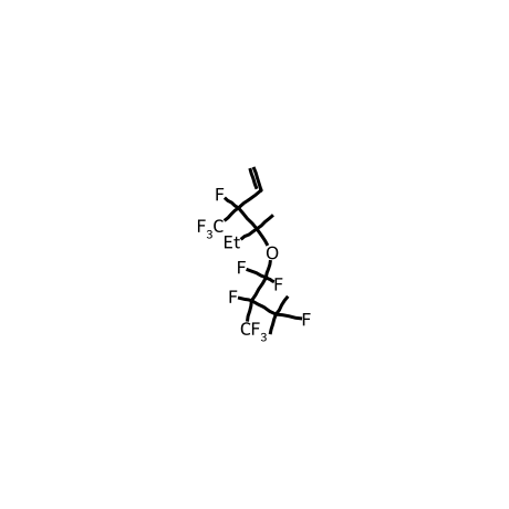 C=CC(F)(C(F)(F)F)C(C)(CC)OC(F)(F)C(F)(C(C)(C)F)C(F)(F)F